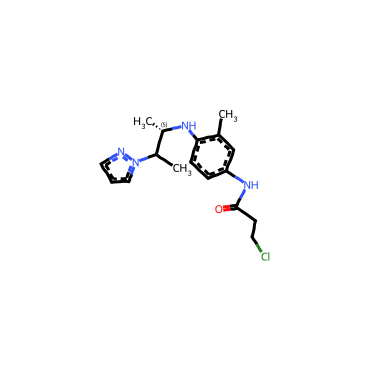 Cc1cc(NC(=O)CCCl)ccc1N[C@@H](C)C(C)n1cccn1